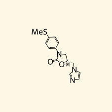 CSc1ccc(N2C[C@H](Cn3ccnc3)OC2=O)cc1